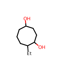 CCC1CCCC(O)CCC1O